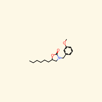 CCCCCCC1CN(Cc2cccc(OC)c2)C(=O)O1